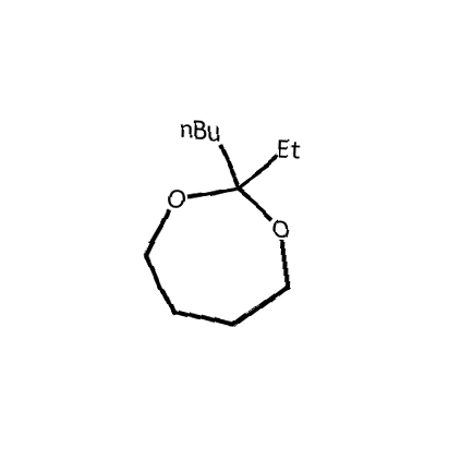 CCCCC1(CC)OCCCCO1